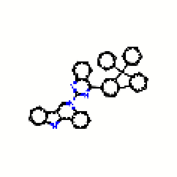 c1ccc(C2(c3ccccc3)c3ccccc3-c3ccc(-c4nc(-n5cc6c7ccccc7nc-6c6ccccc65)nc5ccccc45)cc32)cc1